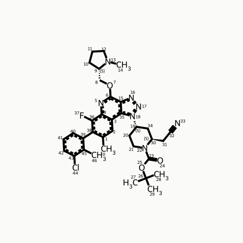 Cc1cc2c(nc(OC[C@@H]3CCCN3C)c3nnn([C@H]4CCN(C(=O)OC(C)(C)C)[C@H](CC#N)C4)c32)c(F)c1-c1cccc(Cl)c1C